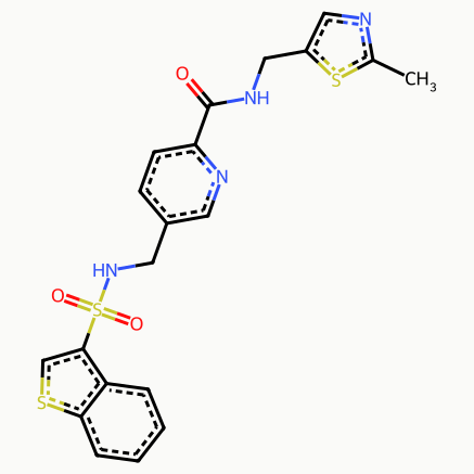 Cc1ncc(CNC(=O)c2ccc(CNS(=O)(=O)c3csc4ccccc34)cn2)s1